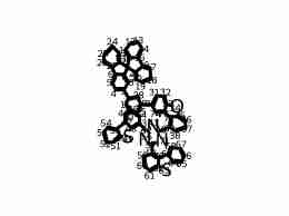 c1cc(-c2ccc3c(c2)C2(c4ccccc4-c4ccccc42)c2ccccc2-3)cc(-c2ccc3oc4cccc(-c5nc(-c6cccc7c6sc6ccccc67)nc(-c6cccc7sc8ccccc8c67)n5)c4c3c2)c1